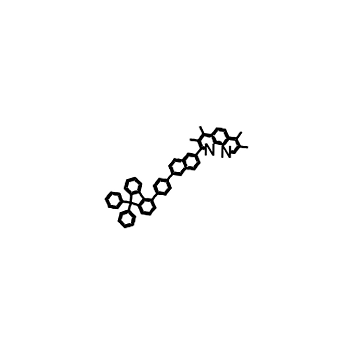 Cc1cnc2c(ccc3c(C)c(C)c(-c4ccc5cc(-c6ccc(-c7cccc8c7-c7ccccc7C8(c7ccccc7)c7ccccc7)cc6)ccc5c4)nc32)c1C